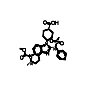 COC(=O)N1c2ccc3c(nc([C@@H](c4ccccc4)S(C)(=O)=O)n3[C@H]3CC[C@H](C(=O)O)CC3)c2CC[C@@H]1C